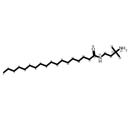 CCCCCCCCCCCCCCCCCC(=O)NCCC(C)(C)N